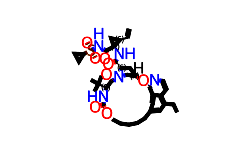 C=C[C@@H]1C[C@]1(NC(=O)[C@@H]1C[C@@H]2CN1C(=O)[C@H](C(C)(C)C)NC(=O)OCCCCCc1cc(CC)c3ccnc(c3c1)O2)C(=O)NS(=O)(=O)C1CC1